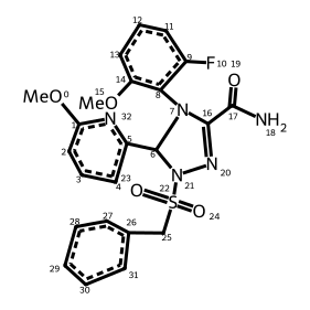 COc1cccc(C2N(c3c(F)cccc3OC)C(C(N)=O)=NN2S(=O)(=O)Cc2ccccc2)n1